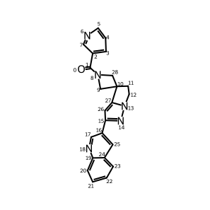 O=C(c1cccnc1)N1CC2(CCn3nc(-c4cnc5ccccc5c4)cc32)C1